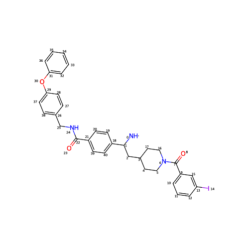 [NH]C(CC1CCN(C(=O)c2cccc(I)c2)CC1)c1ccc(C(=O)NCc2ccc(Oc3ccccc3)cc2)cc1